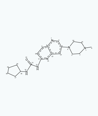 CN1CCN(c2cnc3ccc(NC(=O)NC4CCCC4)nc3c2)CC1